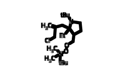 C=C(CCl)CC1(CC)C(COO[Si](C)(C)C(C)(C)C)CCN1C(C)(C)C